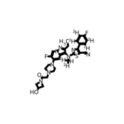 [2H]c1c([2H])c(-c2nc(N(c3c(CC)nn4cc(F)c(N5CCN(CC(=O)N6CC(O)C6)CC5)cc34)C([2H])([2H])[2H])sc2C#N)c([2H])c([2H])c1F